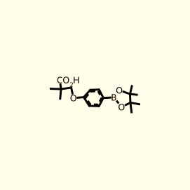 CC(C)(COc1ccc(B2OC(C)(C)C(C)(C)O2)cc1)C(=O)O